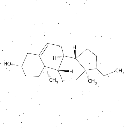 CCC1CC[C@H]2[C@@H]3CC=C4C[C@@H](O)CC[C@]4(C)[C@H]3CC[C@]12C